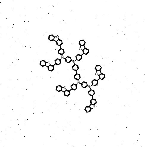 c1ccc2c(c1)oc1ccc(-c3ccc(N(c4ccc(-c5cccc6c5oc5ccccc56)cc4)c4ccc(N(c5ccc(-c6ccc(N(c7ccc(-c8cccc9c8oc8ccccc89)cc7)c7ccc(N(c8ccc(-c9ccc%10oc%11ccccc%11c%10c9)cc8)c8ccc(-c9cccc%10c9oc9ccccc9%10)cc8)cc7)cc6)cc5)c5ccc(-c6cccc7c6oc6ccccc67)cc5)cc4)cc3)cc12